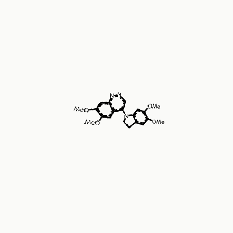 COc1cc2c(cc1OC)N(c1cnnc3cc(OC)c(OC)cc13)CC2